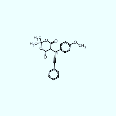 COc1ccc([C@@H](C#Cc2ccccc2)C2C(=O)OC(C)(C)OC2=O)cc1